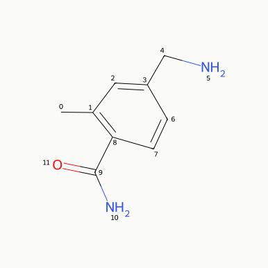 Cc1cc(CN)ccc1C(N)=O